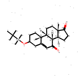 CC(C)(C)[Si](C)(C)OC1CC[C@@]2(C)C(=CC(=O)[C@@H]3[C@H]2CC[C@]2(C)C(=O)CC[C@@H]32)C1